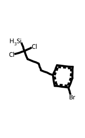 [SiH3]C(Cl)(Cl)CCCc1cccc(Br)c1